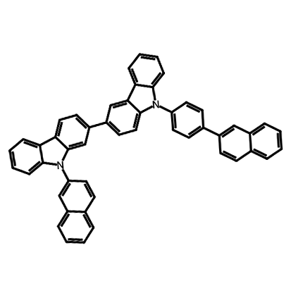 c1ccc2cc(-c3ccc(-n4c5ccccc5c5cc(-c6ccc7c8ccccc8n(-c8ccc9ccccc9c8)c7c6)ccc54)cc3)ccc2c1